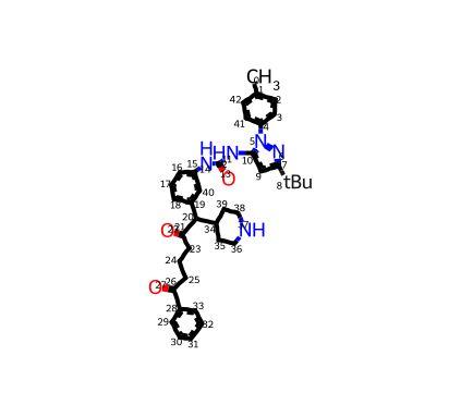 Cc1ccc(-n2nc(C(C)(C)C)cc2NC(=O)Nc2cccc(C(C(=O)CCCC(=O)c3ccccc3)C3CCNCC3)c2)cc1